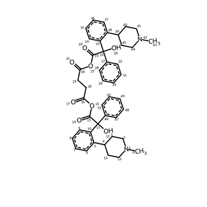 CN1CCC(c2ccccc2C(O)(C(=O)OC(=O)CCC(=O)OC(=O)C(O)(c2ccccc2)c2ccccc2C2CCN(C)CC2)c2ccccc2)CC1